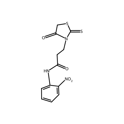 O=C(CCN1C(=O)CSC1=S)Nc1ccccc1[N+](=O)[O-]